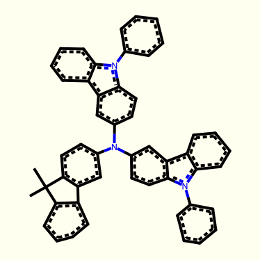 CC1(C)c2ccccc2-c2cc(N(c3ccc4c(c3)c3ccccc3n4-c3ccccc3)c3ccc4c(c3)c3ccccc3n4-c3ccccc3)ccc21